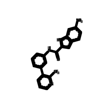 O=C(Nc1cccc(-c2cccnc2C(F)(F)F)c1)c1cc2ccc([N+](=O)[O-])cc2[nH]1